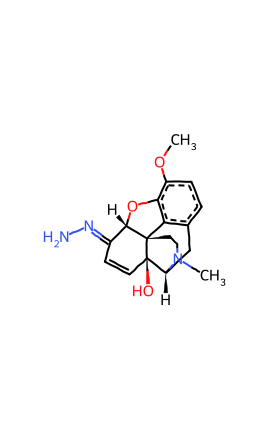 COc1ccc2c3c1O[C@H]1C(=NN)C=C[C@@]4(O)[C@@H](C2)N(C)CC[C@]314